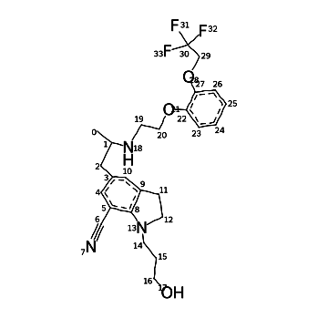 CC(Cc1cc(C#N)c2c(c1)CCN2CCCO)NCCOc1ccccc1OCC(F)(F)F